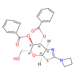 O=C(O[C@@H]1[C@H]2N=C(N3CCC3)S[C@H]2O[C@H](CO)[C@H]1OC(=O)c1ccccc1)c1ccccc1